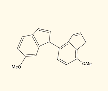 COc1ccc2c(c1)C(c1ccc(OC)c3c1C=CC3)C=C2